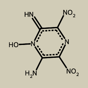 N=c1c([N+](=O)[O-])nc([N+](=O)[O-])c(N)n1O